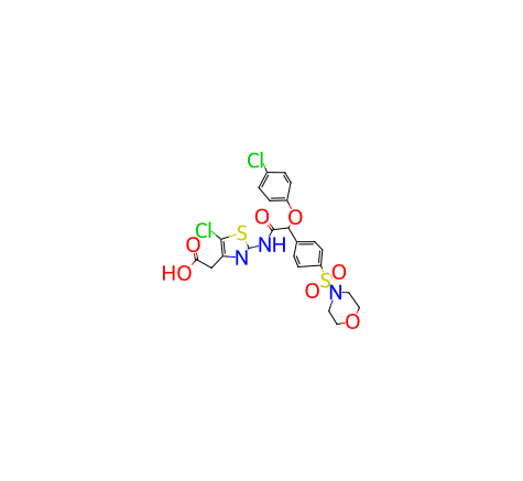 O=C(O)Cc1nc(NC(=O)C(Oc2ccc(Cl)cc2)c2ccc(S(=O)(=O)N3CCOCC3)cc2)sc1Cl